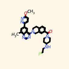 COc1ccc(-c2cc(C)c3ncnc(N4CCc5ccc(C(=O)N6CCC(NCCF)CC6)cc5C4)c3c2)nn1